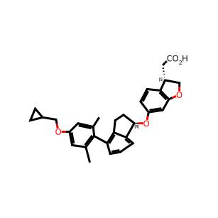 Cc1cc(OCC2CC2)cc(C)c1-c1cccc2c1CC[C@H]2Oc1ccc2c(c1)OC[C@H]2CC(=O)O